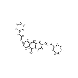 O=c1c2ccc(OCCN3CCCOCC3)cc2sc2cc(OCCN3CCOCC3)ccc12